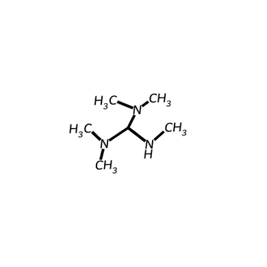 CNC(N(C)C)N(C)C